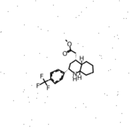 COC(=O)C[C@H]1C[C@@H](c2ccc(C(F)(F)F)cc2)N[C@H]2CCCC[C@@H]12